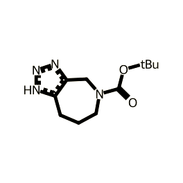 CC(C)(C)OC(=O)N1CCCc2[nH]nnc2C1